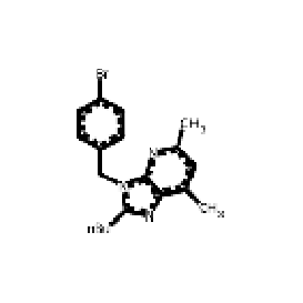 CCCCc1nc2c(C)cc(C)nc2n1Cc1ccc(Br)cc1